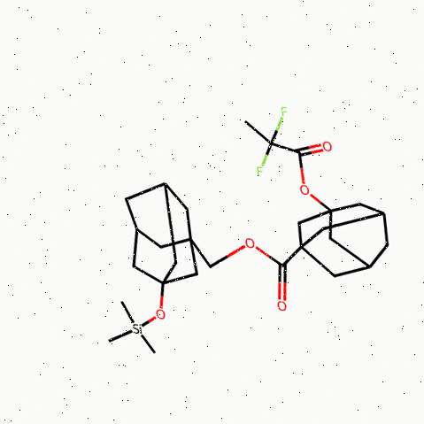 CC(F)(F)C(=O)OC12CC3CC(C1)CC(C(=O)OCC14CC5CC(C1)CC(O[Si](C)(C)C)(C5)C4)(C3)C2